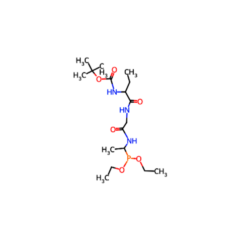 CCOP(OCC)C(C)NC(=O)CNC(=O)C(CC)NC(=O)OC(C)(C)C